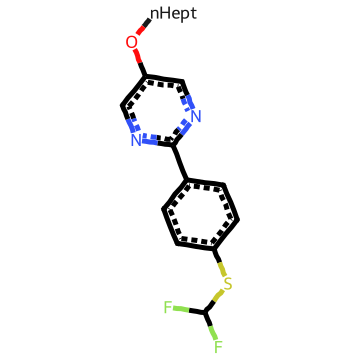 CCCCCCCOc1cnc(-c2ccc(SC(F)F)cc2)nc1